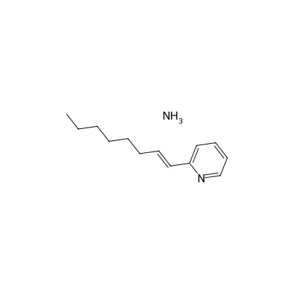 CCCCCCC=Cc1ccccn1.N